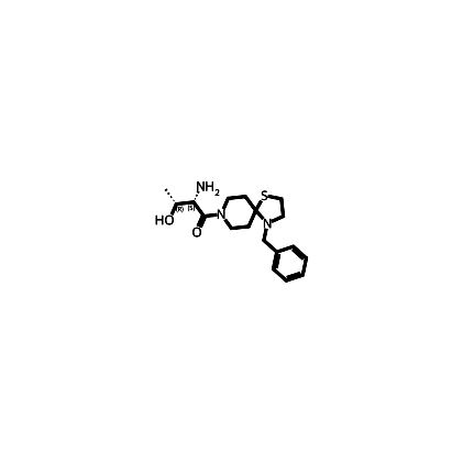 C[C@@H](O)[C@H](N)C(=O)N1CCC2(CC1)SCCN2Cc1ccccc1